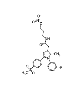 Cc1c(CC(=O)NCCCO[N+](=O)[O-])cc(-c2ccc(S(C)(=O)=O)cc2)n1-c1cccc(F)c1